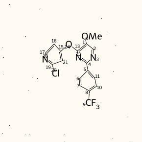 COc1cnc(-c2ccc(C(F)(F)F)cc2)nc1Oc1ccnc(Cl)c1